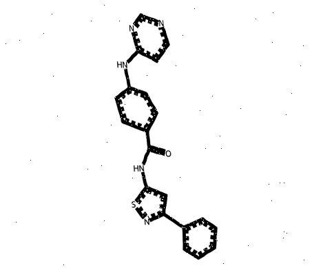 O=C(Nc1cc(-c2ccccc2)ns1)c1ccc(Nc2ccncn2)cc1